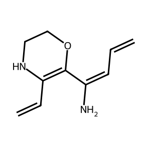 C=C/C=C(/N)C1=C(C=C)NCCO1